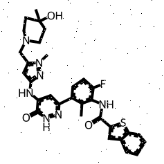 Cc1c(-c2cc(Nc3cc(CN4CCC(C)(O)CC4)n(C)n3)c(=O)[nH]n2)ccc(F)c1NC(=O)c1cc2ccccc2s1